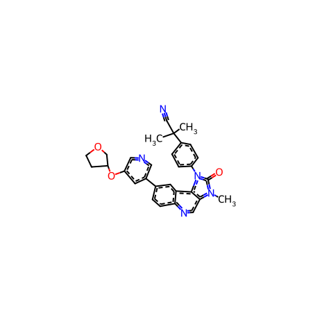 Cn1c(=O)n(-c2ccc(C(C)(C)C#N)cc2)c2c3cc(-c4cncc(OC5CCOC5)c4)ccc3ncc21